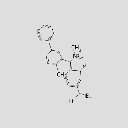 CCC(CC)c1ccc2c(-c3cc(-c4ccccc4)ccc3C)[n+](C)ccc2c1